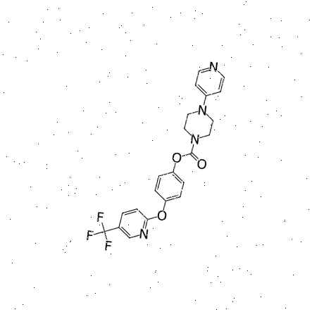 O=C(Oc1ccc(Oc2ccc(C(F)(F)F)cn2)cc1)N1CCN(c2ccncc2)CC1